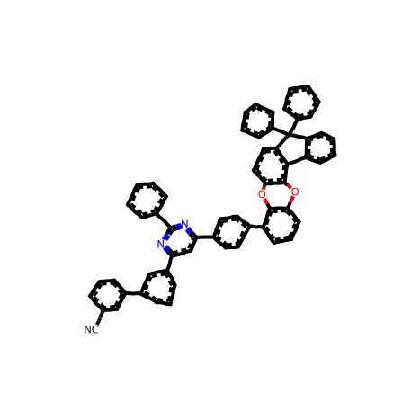 N#Cc1cccc(-c2cccc(-c3cc(-c4ccc(-c5cccc6c5Oc5ccc7c(c5O6)-c5ccccc5C7(c5ccccc5)c5ccccc5)cc4)nc(-c4ccccc4)n3)c2)c1